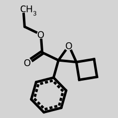 CCOC(=O)C1(c2ccccc2)OC12CCC2